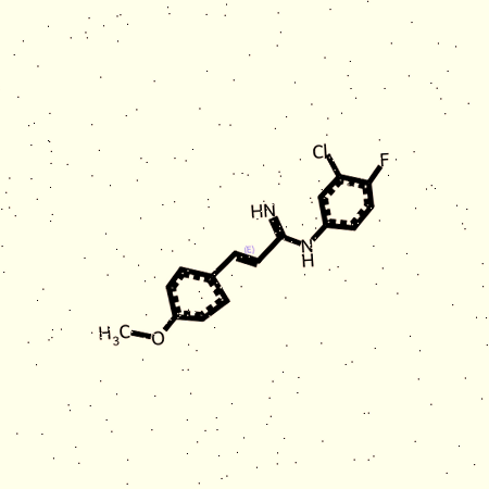 COc1ccc(/C=C/C(=N)Nc2ccc(F)c(Cl)c2)cc1